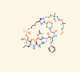 CCC(C)(CCOC(C)(C)CCOC)OCCn1cc(COCCCS(=O)(=O)OCC(C)(O)C(=O)[C@H](CC(C)C)NC(=O)[C@H](C)NC(=O)[C@H](CC(C)C)NC(=O)[C@H](CCc2ccccc2)NC(=O)CN2CCOCC2)nn1